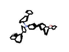 c1ccc(-c2cccc(N(c3ccc(-c4ccc5c(ccc6c7ccccc7oc56)c4)cc3)c3ccc(-c4cccc5ccccc45)cc3)c2)cc1